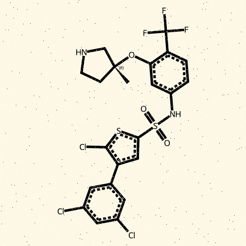 C[C@@]1(Oc2cc(NS(=O)(=O)c3cc(-c4cc(Cl)cc(Cl)c4)c(Cl)s3)ccc2C(F)(F)F)CCNC1